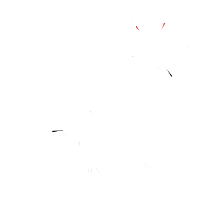 CC(=O)NSC[C@H](N)C(=O)N[C@@H](Cc1ccccc1)C(=O)Nc1ccc(O[C@H]2O[C@H](CO)[C@@H](O)[C@H](O)[C@@H]2O)c(C)c1